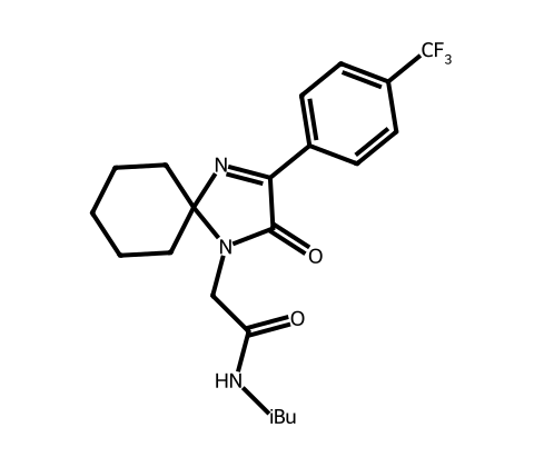 CCC(C)NC(=O)CN1C(=O)C(c2ccc(C(F)(F)F)cc2)=NC12CCCCC2